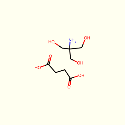 NC(CO)(CO)CO.O=C(O)CCC(=O)O